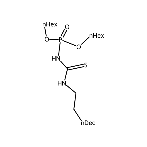 CCCCCCCCCCCCNC(=S)NP(=O)(OCCCCCC)OCCCCCC